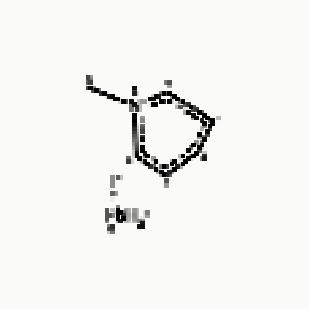 C[n+]1ccccc1.[I-].[PbH2]